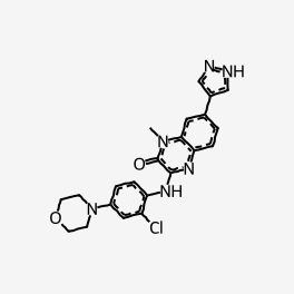 Cn1c(=O)c(Nc2ccc(N3CCOCC3)cc2Cl)nc2ccc(-c3cn[nH]c3)cc21